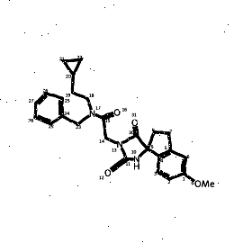 COc1ccc2c(c1)CCC21NC(=O)N(CC(=O)N(CCC2CC2)Cc2ccccc2)C1=O